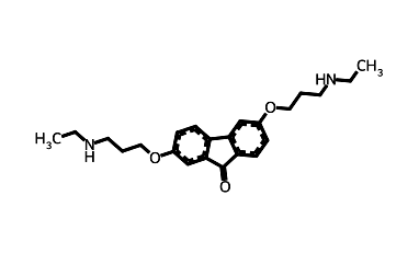 CCNCCCOc1ccc2c(c1)C(=O)c1ccc(OCCCNCC)cc1-2